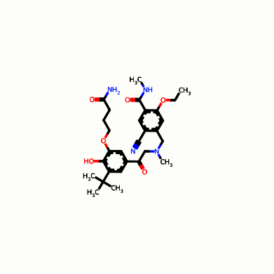 CCOc1cc(CN(C)CC(=O)c2cc(OCCCC(N)=O)c(O)c(C(C)(C)C)c2)c(C#N)cc1C(=O)NC